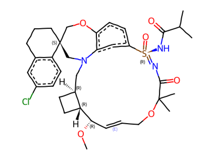 CO[C@H]1/C=C/COC(C)(C)C(=O)N=[S@](=O)(NC(=O)C(C)C)c2ccc3c(c2)N(C[C@@H]2CC[C@H]21)C[C@@]1(CCCc2cc(Cl)ccc21)CO3